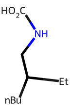 CCCCC(CC)CNC(=O)O